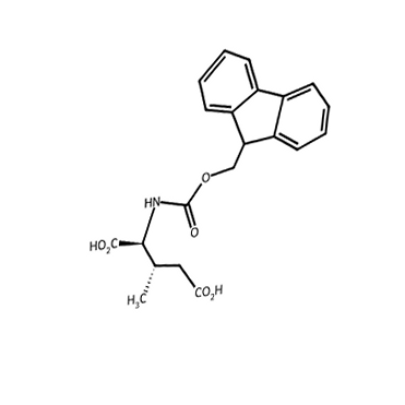 C[C@@H](CC(=O)O)[C@H](NC(=O)OCC1c2ccccc2-c2ccccc21)C(=O)O